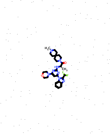 C[C@H](Nc1nc(N2CCOCC2)cc(-n2c(C(F)F)nc3ccccc32)n1)C(=O)N1CCC2(CCN(C)CC2)CC1